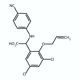 C=CCOc1c(Cl)cc(Cl)cc1C(Nc1ccc(C#N)cc1)C(=O)O